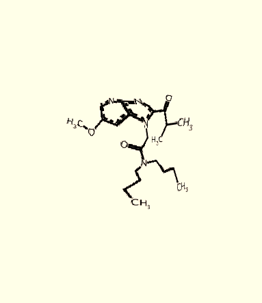 CCCCN(CCCC)C(=O)Cn1c(C(=O)C(C)C)nc2ncc(OC)cc21